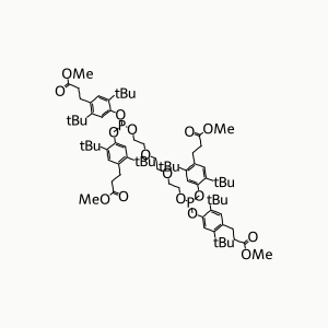 COC(=O)CCc1cc(C(C)(C)C)c(OP(OCCOCCOCCOP(Oc2cc(C(C)(C)C)c(CCC(=O)OC)cc2C(C)(C)C)Oc2cc(C(C)(C)C)c(CCC(=O)OC)cc2C(C)(C)C)Oc2cc(C(C)(C)C)c(CCC(=O)OC)cc2C(C)(C)C)cc1C(C)(C)C